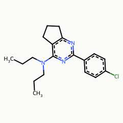 CCCN(CCC)c1nc(-c2ccc(Cl)cc2)nc2c1CCC2